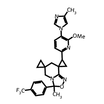 COc1nc(C2CC23CC2(CC2)CN2C3=NOC2(C)c2ccc(C(F)(F)F)cc2)ccc1-n1cnc(C)c1